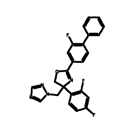 Fc1ccc(C2(Cn3cncn3)COC(c3ccc(-c4ccccc4)c(F)c3)=N2)c(F)c1